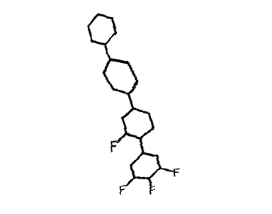 FC1CC(C2CCC(C3CCC(C4CCCCC4)CC3)CC2F)CC(F)C1F